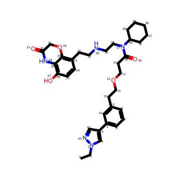 CCn1cc(-c2cccc(CCOCCC(=O)N(CCNCCc3ccc(O)c4c3OCC(=O)N4)C3CCCCC3)c2)cn1